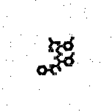 CC(C)(C)OC(=O)NC(ONNC(C(=O)NC(=N)c1ccccc1)c1cccc(Cl)c1)c1cccc(Br)c1